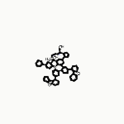 C#C/C(=C\C=C/C)C1=C(c2cc3c4c(c2)C(C)(C)c2cc(-c5ccccc5)ccc2N4c2ccc(-c4cccc5oc6ccccc6c45)cc2-c2ccc(-c4cccc5oc6ccccc6c45)cc2-3)C=CC1